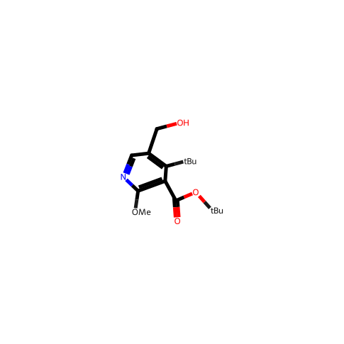 COc1ncc(CO)c(C(C)(C)C)c1C(=O)OC(C)(C)C